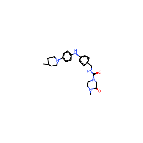 CC1CCN(c2ccc(Nc3ccc(CNC(=O)N4CCN(C)C(=O)C4)cc3)cc2)CC1